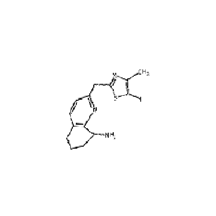 Cc1nc(Cc2ccc3c(n2)C(N)CCC3)sc1I